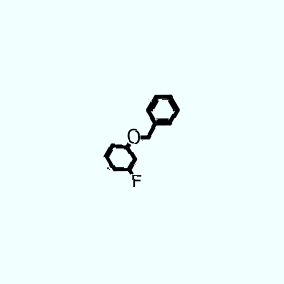 FC1[CH]CCC(OCc2ccccc2)C1